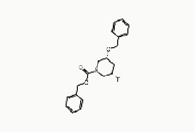 O=C(OCc1ccccc1)N1C[C@@H](F)C[C@@H](OCc2ccccc2)C1